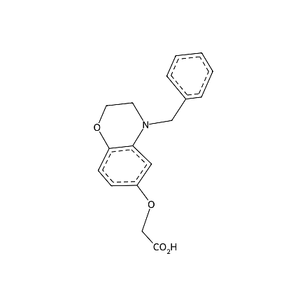 O=C(O)COc1ccc2c(c1)N(Cc1ccccc1)CCO2